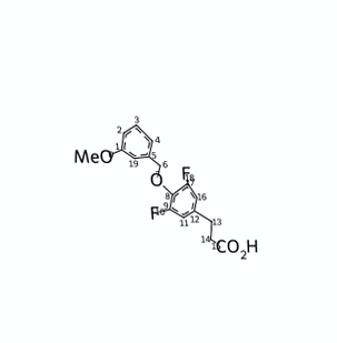 COc1cccc(COc2c(F)cc(CCC(=O)O)cc2F)c1